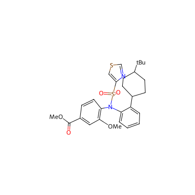 COC(=O)c1ccc(N(c2ccccc2C2CCC(C(C)(C)C)CC2)S(=O)(=O)c2cscn2)c(OC)c1